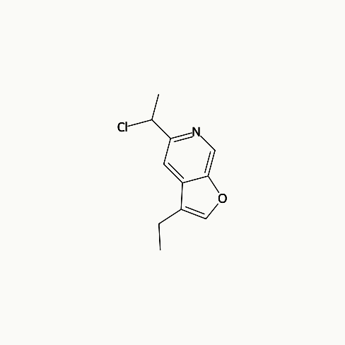 CCc1coc2cnc(C(C)Cl)cc12